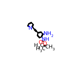 CC(C)(C)OC(=O)Nc1ccc(C#Cc2ccccn2)cc1N